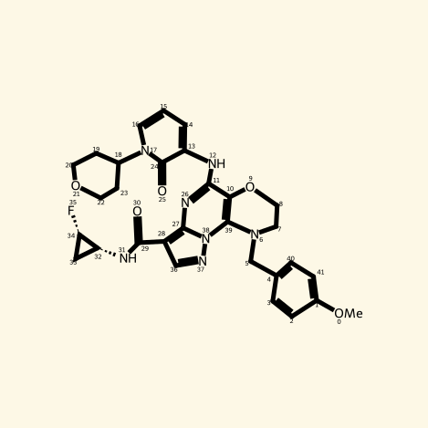 COc1ccc(CN2CCOc3c(Nc4cccn(C5CCOCC5)c4=O)nc4c(C(=O)N[C@@H]5C[C@@H]5F)cnn4c32)cc1